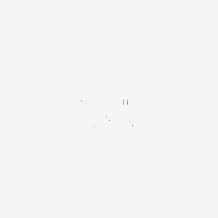 CCOC(=O)c1c(-c2ccco2)nc(NCCOC)nc1S(C)(=O)=O